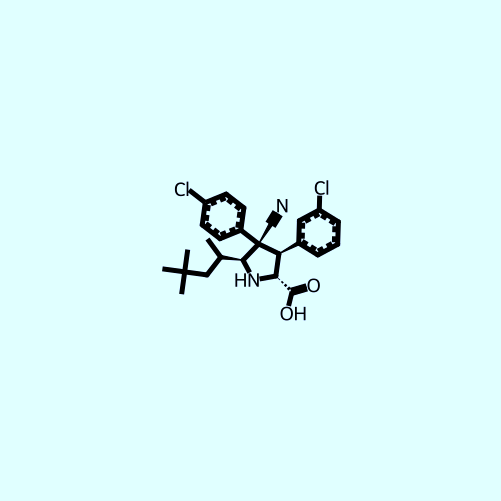 CC(CC(C)(C)C)[C@@H]1N[C@@H](C(=O)O)[C@H](c2cccc(Cl)c2)[C@@]1(C#N)c1ccc(Cl)cc1